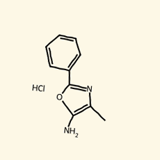 Cc1nc(-c2ccccc2)oc1N.Cl